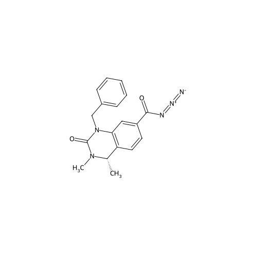 C[C@H]1c2ccc(C(=O)N=[N+]=[N-])cc2N(Cc2ccccc2)C(=O)N1C